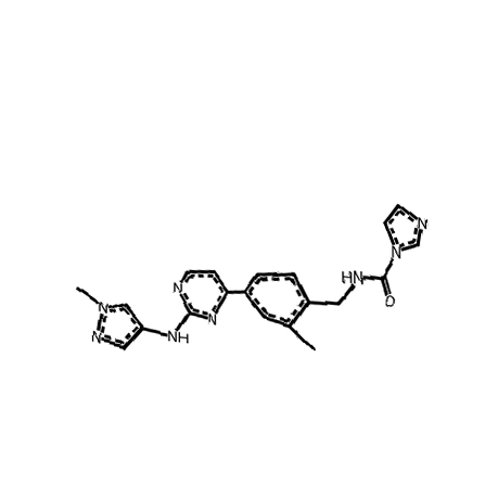 Cc1cc(-c2ccnc(Nc3cnn(C)c3)n2)ccc1CNC(=O)n1ccnc1